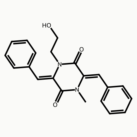 Cn1c(=O)/c(=C/c2ccccc2)n(CCO)c(=O)/c1=C/c1ccccc1